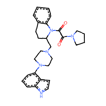 O=C(C(=O)N1c2ccccc2CCC1CN1CCN(c2cccc3[nH]ccc23)CC1)N1CCCC1